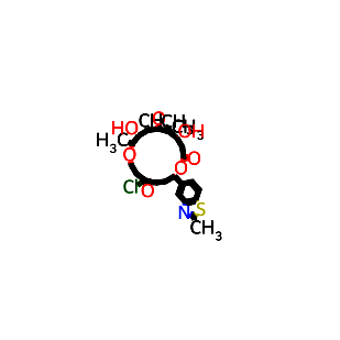 Cc1nc2cc(C3CC4OC4(Cl)CCOC(C)C(O)C(C)C(=O)C(C)(C)C(O)CC(=O)O3)ccc2s1